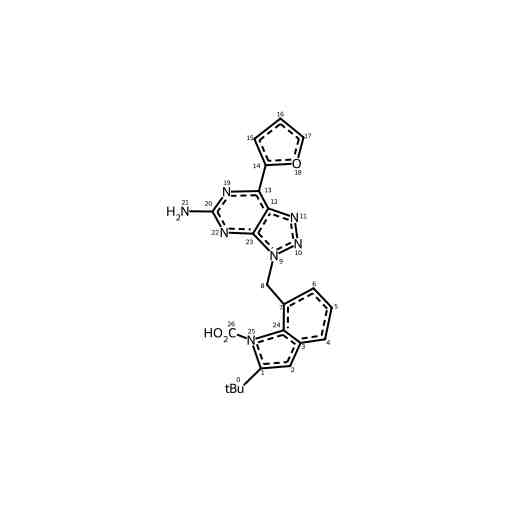 CC(C)(C)c1cc2cccc(Cn3nnc4c(-c5ccco5)nc(N)nc43)c2n1C(=O)O